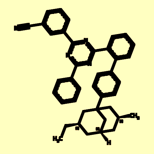 CC[C@@H]1C[C@@H]2C[C@H](C)CC(c3ccc(-c4ccccc4-c4nc(-c5ccccc5)nc(-c5cccc(C#N)c5)n4)cc3)(C1)C2